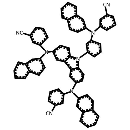 [C-]#[N+]c1cccc(N(c2ccc3ccccc3c2)c2ccc3c(c2)c2cc(N(c4cccc(C#N)c4)c4ccc5ccccc5c4)ccc2n3-c2cccc(N(c3cccc(C#N)c3)c3ccc4ccccc4c3)c2)c1